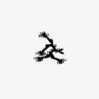 CCCSCC(CCC(=O)NC(C)(COC(=O)CNC(C)(COCc1cn(CCCSCCC(=O)NC(CO)(CO)CO)nn1)COCc1cn(CCCSCCC(=O)NC(CO)(CO)CO)nn1)COC(=O)CNC(C)(COCc1cn(CCCSCCC(=O)NC(CO)(CO)CO)nn1)COCc1cn(CCCSCCC(=O)NC(CO)(CO)CO)nn1)SCCC